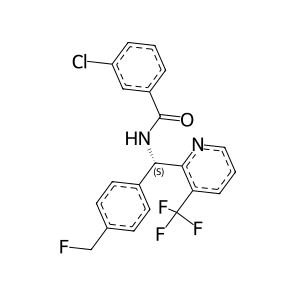 O=C(N[C@@H](c1ccc(CF)cc1)c1ncccc1C(F)(F)F)c1cccc(Cl)c1